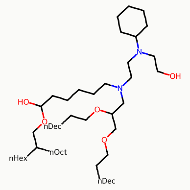 CCCCCCCCCCCCOCC(CN(CCCCCC(O)OCC(CCCCCC)CCCCCCCC)CCN(CCO)C1CCCCC1)OCCCCCCCCCCCC